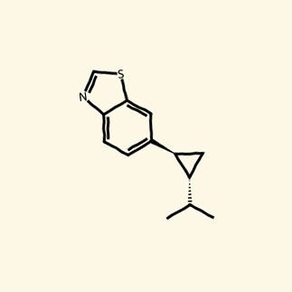 CC(C)[C@H]1C[C@@H]1c1ccc2ncsc2c1